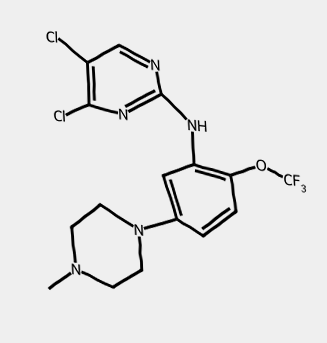 CN1CCN(c2ccc(OC(F)(F)F)c(Nc3ncc(Cl)c(Cl)n3)c2)CC1